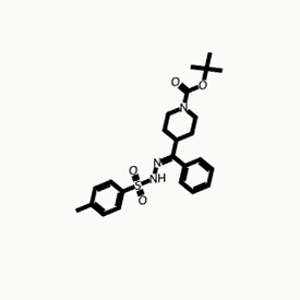 Cc1ccc(S(=O)(=O)N/N=C(\c2ccccc2)C2CCN(C(=O)OC(C)(C)C)CC2)cc1